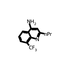 CCCc1cc(N)c2cccc(C(F)(F)F)c2n1